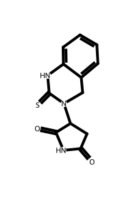 O=C1CC(N2Cc3ccccc3NC2=S)C(=O)N1